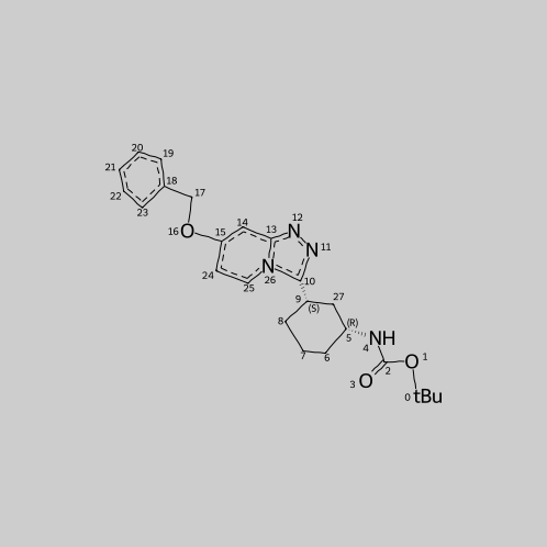 CC(C)(C)OC(=O)N[C@@H]1CCC[C@H](c2nnc3cc(OCc4ccccc4)ccn23)C1